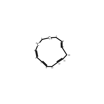 [C]1=C/C=C\CCCC/C=C/C/C=C/C/1